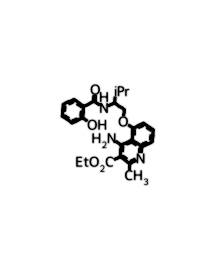 CCOC(=O)c1c(C)nc2cccc(OCC(NC(=O)c3ccccc3O)C(C)C)c2c1N